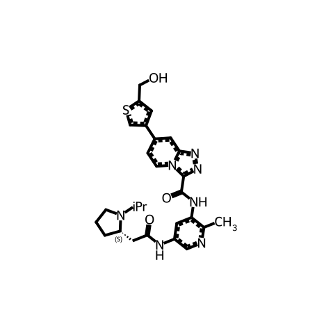 Cc1ncc(NC(=O)C[C@@H]2CCCN2C(C)C)cc1NC(=O)c1nnc2cc(-c3csc(CO)c3)ccn12